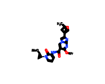 CO[C@@H]1C[C@H]1n1cccc(NC(=O)c2cn3cc(C45COC(C)(C4)C5)nc3nc2OC(C)C)c1=O